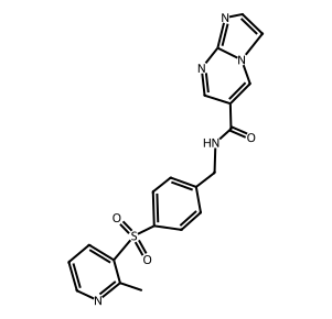 Cc1ncccc1S(=O)(=O)c1ccc(CNC(=O)c2cnc3nccn3c2)cc1